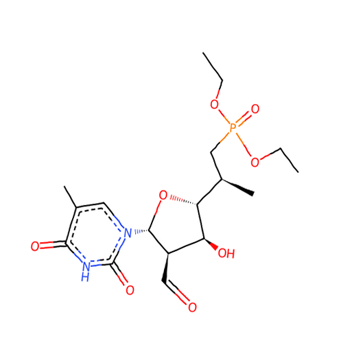 CCOP(=O)(C[C@@H](C)[C@H]1O[C@@H](n2cc(C)c(=O)[nH]c2=O)[C@H](C=O)[C@@H]1O)OCC